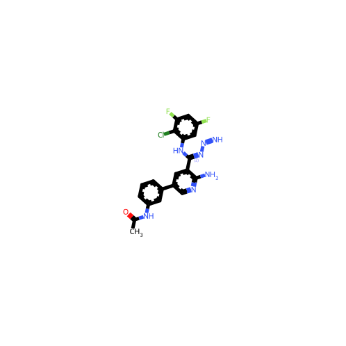 CC(=O)Nc1cccc(-c2cnc(N)c(/C(=N/N=N)Nc3cc(F)cc(F)c3Cl)c2)c1